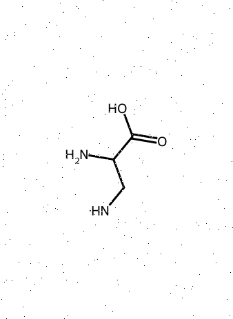 [NH]CC(N)C(=O)O